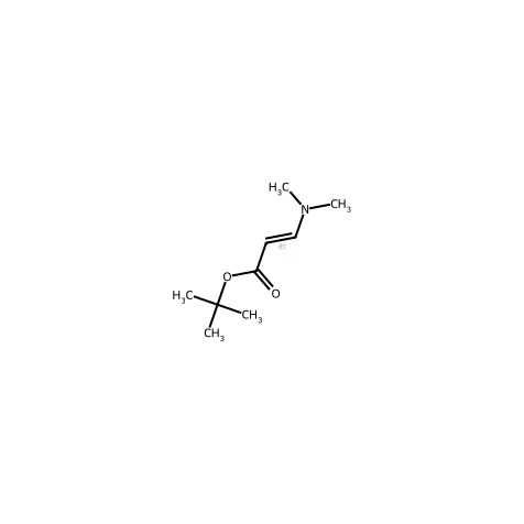 CN(C)/C=C/C(=O)OC(C)(C)C